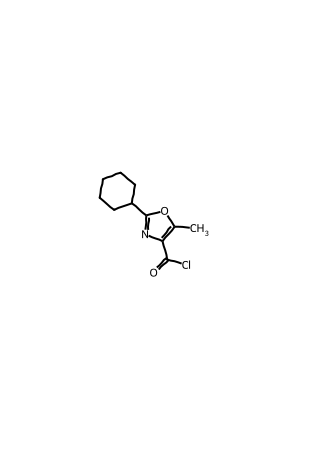 Cc1oc(C2CCCCC2)nc1C(=O)Cl